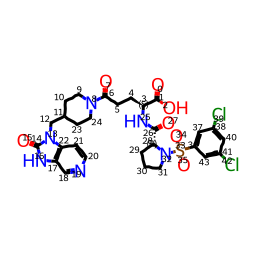 O=C(O)[C@H](CCC(=O)N1CCC(Cn2c(=O)[nH]c3cnccc32)CC1)NC(=O)[C@H]1CCCN1S(=O)(=O)c1cc(Cl)cc(Cl)c1